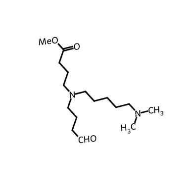 COC(=O)CCCN(CCCC=O)CCCCCN(C)C